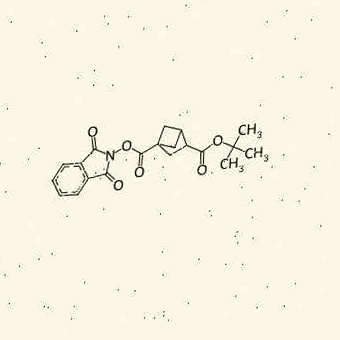 CC(C)(C)OC(=O)C1CC2(C(=O)ON3C(=O)c4ccccc4C3=O)CC1C2